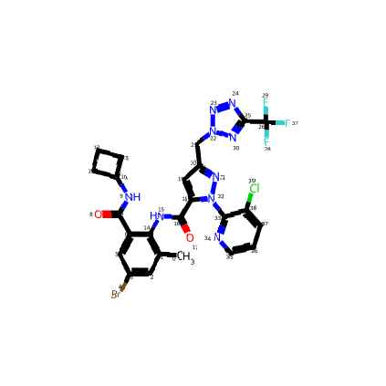 Cc1cc(Br)cc(C(=O)NC2CCC2)c1NC(=O)c1cc(Cn2nnc(C(F)(F)F)n2)nn1-c1ncccc1Cl